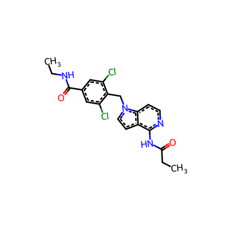 CCNC(=O)c1cc(Cl)c(Cn2ccc3c(NC(=O)CC)nccc32)c(Cl)c1